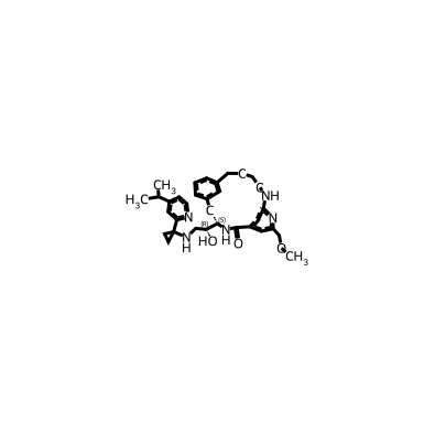 COCc1cc2cc(n1)NCCCCc1cccc(c1)C[C@@H]([C@H](O)CNC1(c3cc(C(C)C)ccn3)CC1)NC2=O